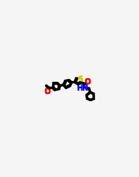 CC(=O)c1ccc(-c2ccc(-c3csc(C(=O)NCC4CCCCC4)c3)cc2)cc1